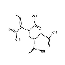 CC=C(C(=O)O)C(CC(CC(=O)O)C(=O)O)C(=O)O